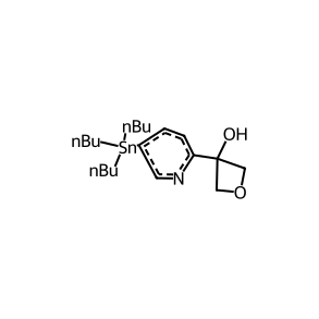 CCC[CH2][Sn]([CH2]CCC)([CH2]CCC)[c]1ccc(C2(O)COC2)nc1